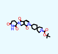 CC(C)(C)OC(=O)N1CCC2(CCC(n3ccc4c(c3=O)CN(C3CCC(=O)NC3=O)C4=O)CC2)CC1